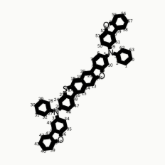 c1ccc(N(c2ccc3c(c2)oc2cc4cc5c(cc4cc23)sc2cc(N(c3ccccc3)c3ccc4oc6ccccc6c4c3)ccc25)c2ccc3oc4ccccc4c3c2)cc1